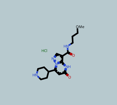 COCCCNC(=O)c1cnn2c(C3CCNCC3)cc(=O)[nH]c12.Cl